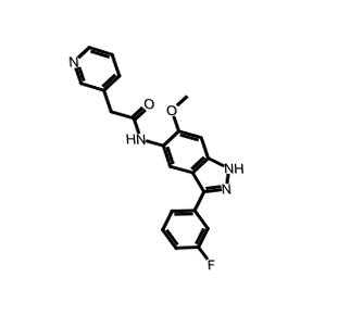 COc1cc2[nH]nc(-c3cccc(F)c3)c2cc1NC(=O)Cc1cccnc1